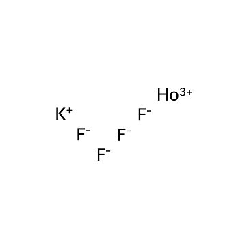 [F-].[F-].[F-].[F-].[Ho+3].[K+]